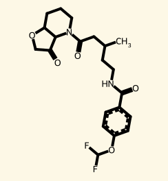 CC(CCNC(=O)c1ccc(OC(F)F)cc1)CC(=O)N1CCCC2OCC(=O)C21